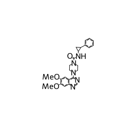 COc1cc2ncnc(N3CCN(C(=O)NC4CC4c4ccccc4)CC3)c2cc1OC